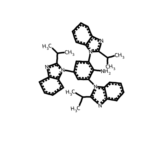 CC(C)c1nc2ccccc2n1-c1cc(-n2c(C(C)C)nc3ccccc32)c(N)c(-n2c(C(C)C)nc3ccccc32)c1